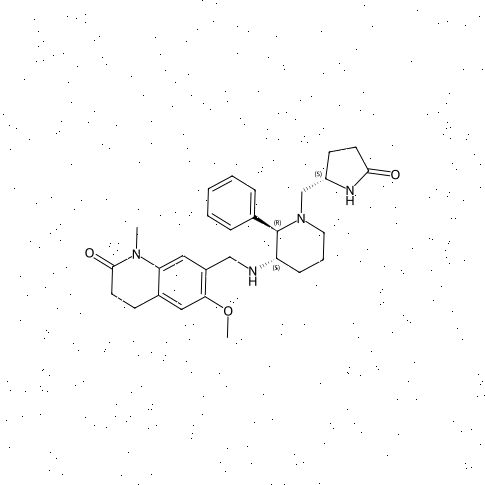 COc1cc2c(cc1CN[C@H]1CCCN(C[C@@H]3CCC(=O)N3)[C@@H]1c1ccccc1)N(C)C(=O)CC2